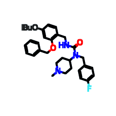 CC(C)COc1ccc(CNC(=O)N(Cc2ccc(F)cc2)C2CCN(C)CC2)c(OCc2ccccc2)c1